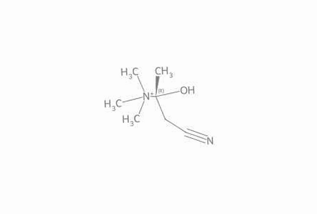 C[C@@](O)(CC#N)[N+](C)(C)C